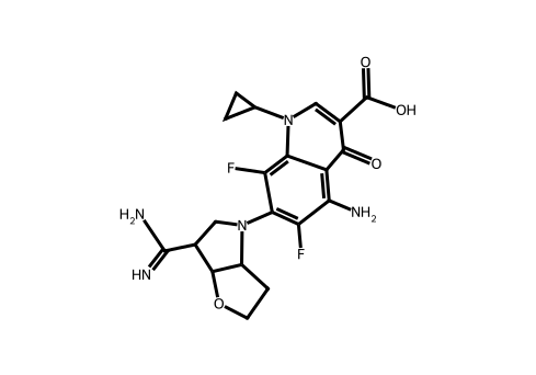 N=C(N)C1CN(c2c(F)c(N)c3c(=O)c(C(=O)O)cn(C4CC4)c3c2F)C2CCOC12